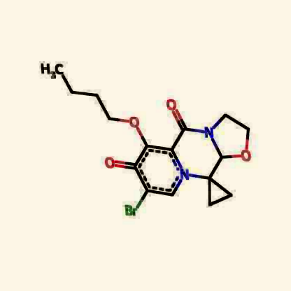 CCCCOc1c2n(cc(Br)c1=O)C1(CC1)C1OCCN1C2=O